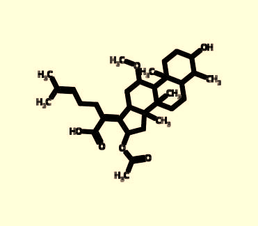 COC1CC2/C(=C(\CCC=C(C)C)C(=O)O)C(OC(C)=O)CC2(C)C2(C)CCC3C(C)C(O)CCC3(C)C12